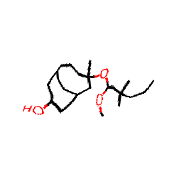 CCC(C)(C)C(OC)OC1(C)CC2CC(O)CC(C2)C1